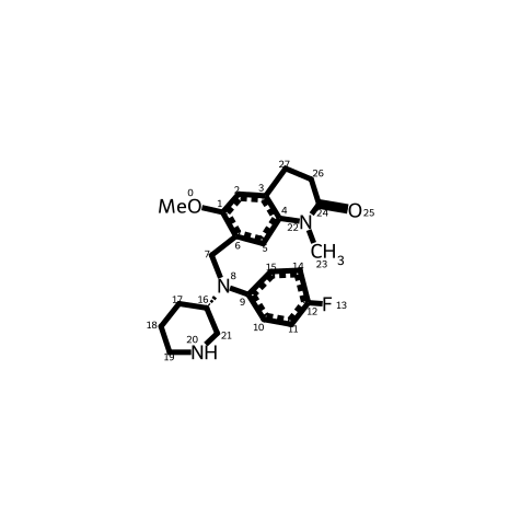 COc1cc2c(cc1CN(c1ccc(F)cc1)[C@H]1CCCNC1)N(C)C(=O)CC2